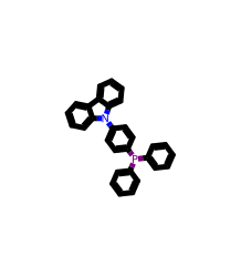 c1ccc(P(c2ccccc2)c2ccc(-n3c4ccccc4c4ccccc43)cc2)cc1